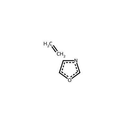 C=C.c1cocn1